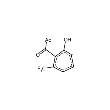 CC(=O)C(=O)c1c(O)[c]ccc1C(F)(F)F